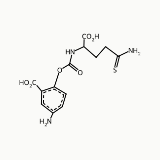 NC(=S)CCC(NC(=O)Oc1ccc(N)cc1C(=O)O)C(=O)O